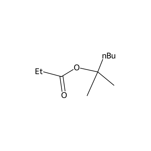 [CH2]CC(=O)OC(C)(C)CCCC